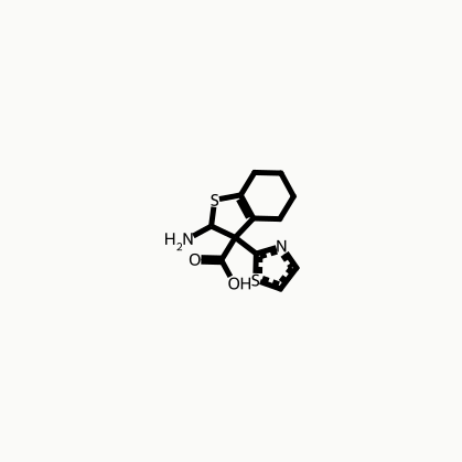 NC1SC2=C(CCCC2)C1(C(=O)O)c1nccs1